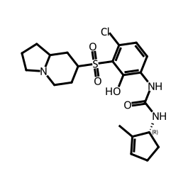 CC1=CCC[C@H]1NC(=O)Nc1ccc(Cl)c(S(=O)(=O)C2CCN3CCCC3C2)c1O